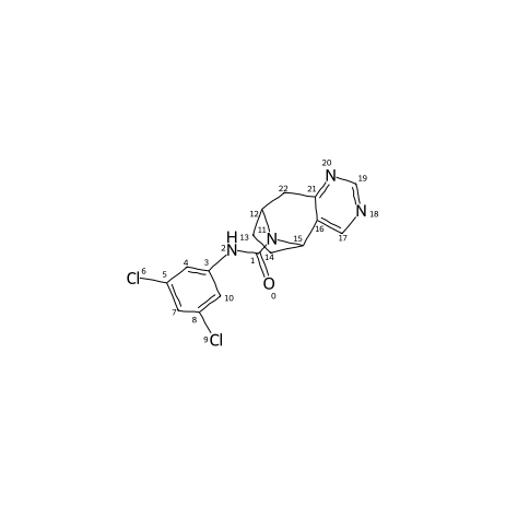 O=C(Nc1cc(Cl)cc(Cl)c1)N1C2CCC1c1cncnc1C2